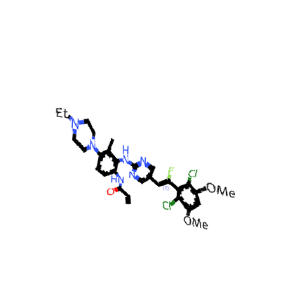 C=CC(=O)Nc1ccc(N2CCN(CC)CC2)c(C)c1Nc1ncc(/C=C(\F)c2c(Cl)c(OC)cc(OC)c2Cl)cn1